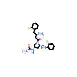 NC(=O)N[C@H]1C[C@@H](CNc2ccccc2F)N(C(=O)C[C@H](N)Cc2ccccc2F)C1